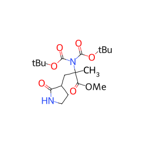 COC(=O)C(C)(CC1CCNC1=O)N(C(=O)OC(C)(C)C)C(=O)OC(C)(C)C